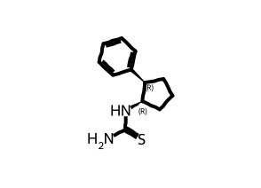 NC(=S)N[C@@H]1CCC[C@@H]1c1ccccc1